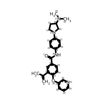 C=C(C)c1cc(C(=O)Nc2ccc(N3CCC(N(C)C)C3)cc2)ccc1Oc1cccnc1